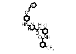 O=C(Nc1ccc(Cl)c(NC(=O)c2cnc(Nc3ccc(OCCN4CCCC4)cc3)nc2)c1)c1cccc(C(F)(F)F)c1